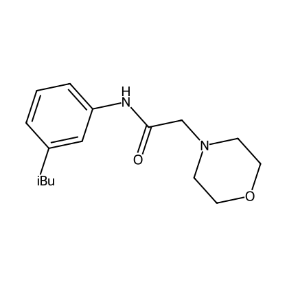 CCC(C)c1cccc(NC(=O)CN2CCOCC2)c1